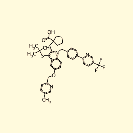 Cc1ccc(COc2ccc3c(c2)c(SC(C)(C)C)c(CC2(C(=O)O)CCCC2)n3Cc2ccc(-c3ccc(C(F)(F)F)cn3)cc2)nc1